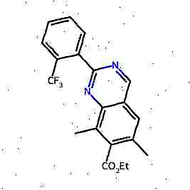 CCOC(=O)c1c(C)cc2cnc(-c3ccccc3C(F)(F)F)nc2c1C